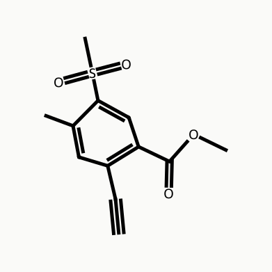 C#Cc1cc(C)c(S(C)(=O)=O)cc1C(=O)OC